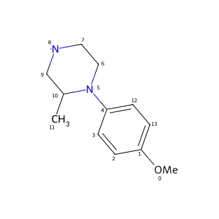 COc1ccc(N2CC[N]CC2C)cc1